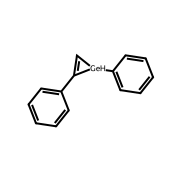 [CH]1=[C](c2ccccc2)[GeH]1[c]1ccccc1